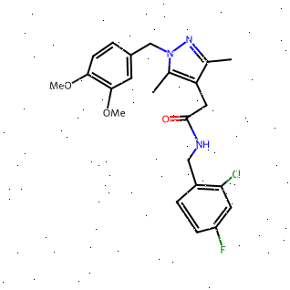 COc1ccc(Cn2nc(C)c(CC(=O)NCc3ccc(F)cc3Cl)c2C)cc1OC